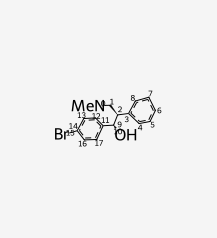 CNC[C@@H](c1ccccc1)[C@@H](O)c1ccc(Br)cc1